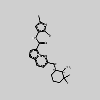 Cn1cc(NC(=O)c2ccc3ccc(N[C@@H]4CCCC(F)(F)[C@@H]4N)nn23)c(Br)n1